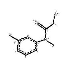 CC(=O)CC(=O)N(C)c1cccc(C)c1